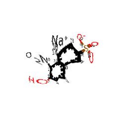 O=[N+]([O-])c1c(O)ccc2cc(S(=O)(=O)[O-])ccc12.[Na+]